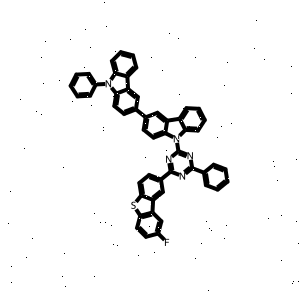 Fc1ccc2sc3ccc(-c4nc(-c5ccccc5)nc(-n5c6ccccc6c6cc(-c7ccc8c(c7)c7ccccc7n8-c7ccccc7)ccc65)n4)cc3c2c1